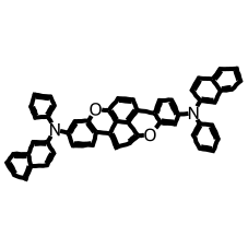 c1ccc(N(c2ccc3c(c2)Oc2ccc4c5c(ccc-3c25)Oc2cc(N(c3ccccc3)c3ccc5ccccc5c3)ccc2-4)c2ccc3ccccc3c2)cc1